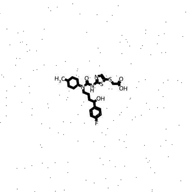 CC1CCC(N(CCCC(O)c2ccc(F)cc2)C(=O)Nc2ncc(SCC(=O)O)s2)CC1